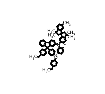 C=Cc1ccc(Oc2ccc(C3(c4ccc(CC)cc4)c4ccccc4-c4ccc(N(c5ccc6c(c5)C5(CC(C)(C)c7ccc(C)cc75)CC6(C)C)c5cc(C)ccc5F)cc43)cc2)cc1